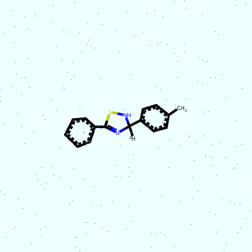 [2H]C1(c2ccc(C)cc2)N=C(c2ccccc2)SN1